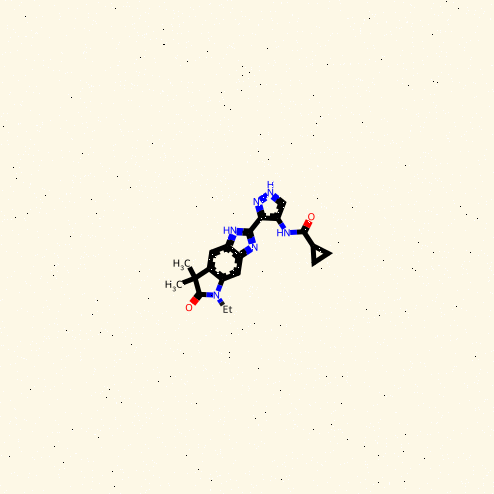 CCN1C(=O)C(C)(C)c2cc3[nH]c(-c4n[nH]cc4NC(=O)C4CC4)nc3cc21